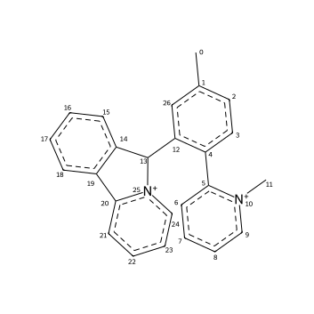 Cc1ccc(-c2cccc[n+]2C)c(C2c3ccccc3-c3cccc[n+]32)c1